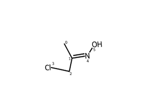 C/C(CCl)=N\O